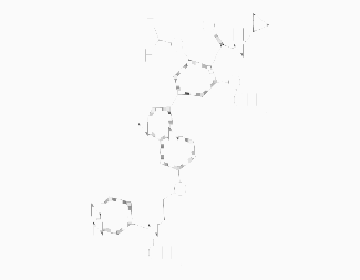 COc1cc(-c2cnc3cc(OCCN(C)c4ccnnc4)ccn23)cc(OC(F)F)c1C(=O)NC1CC1